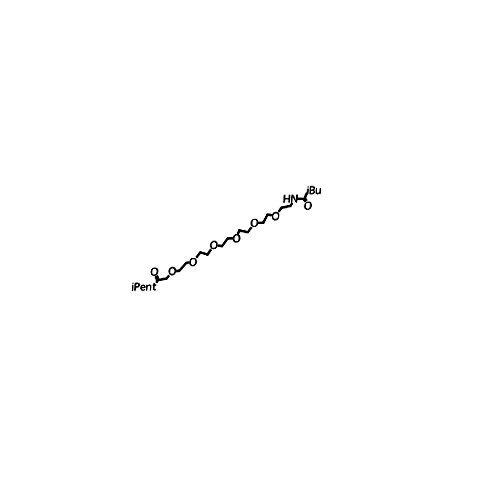 CCCC(C)C(=O)COCCOCCOCCOCCOCCOCCNC(=O)C(C)CC